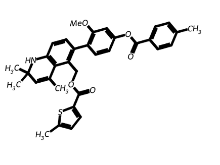 COc1cc(OC(=O)c2ccc(C)cc2)ccc1-c1ccc2c(c1COC(=O)c1ccc(C)s1)C(C)=CC(C)(C)N2